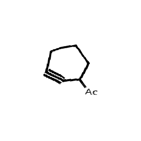 CC(=O)C1C#CCCC1